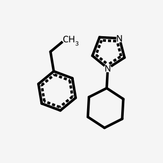 CCc1ccccc1.c1cn(C2CCCCC2)cn1